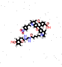 CC1=CC(C)(C)N(CCc2ccc([N+](=O)[O-])cc2)c2cc3c(cc21)C(c1cc(C(=O)O)ccc1C=O)=c1cc2c(cc1O3)=[N+](CCCCCC(=O)NCCNC1(C)CCc3c(C)c(O)c(C)c(C)c3O1)C(C)(C)C=C2C